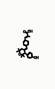 C/C(=C\c1ccc(C=C2CC(C)(C)OC(C)(C)C2c2ccc(O)cc2)cc1)C(=O)O